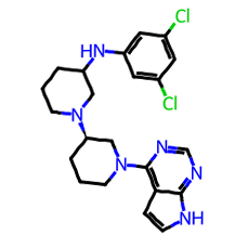 Clc1cc(Cl)cc(NC2CCCN([C@@H]3CCCN(c4ncnc5[nH]ccc45)C3)C2)c1